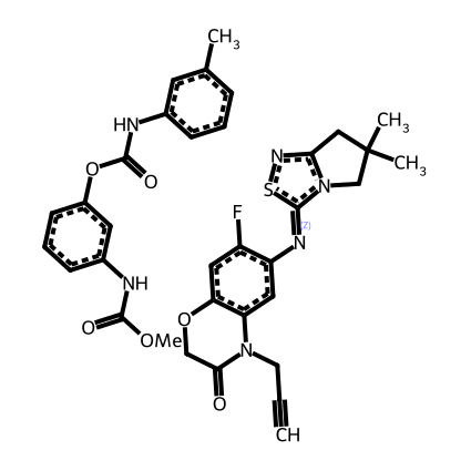 C#CCN1C(=O)COc2cc(F)c(/N=c3\snc4n3CC(C)(C)C4)cc21.COC(=O)Nc1cccc(OC(=O)Nc2cccc(C)c2)c1